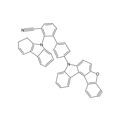 N#Cc1cccc(-c2ccc(-n3c4ccccc4c4c5c(ccc43)oc3c#cccc35)cc2)c1-n1c2c(c3ccccc31)C=CCC2